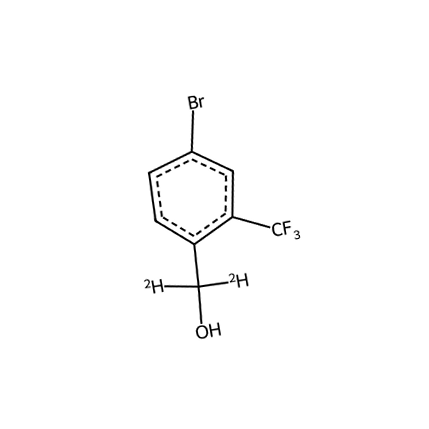 [2H]C([2H])(O)c1ccc(Br)cc1C(F)(F)F